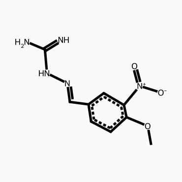 COc1ccc(/C=N/NC(=N)N)cc1[N+](=O)[O-]